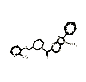 Cn1c(-c2ccccc2)nc2nc(C(=O)N3CCCC(COc4cccnc4C(F)(F)F)C3)cnc21